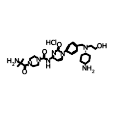 CC(C)(N)C(=O)N1CCN(C(=O)Nc2ccn(-c3ccc(CN(CCO)[C@H]4CC[C@H](N)CC4)cc3)c(=O)n2)CC1.Cl